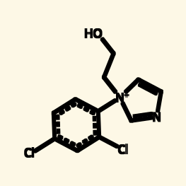 OCC[N+]1(c2ccc(Cl)cc2Cl)C=CN=C1